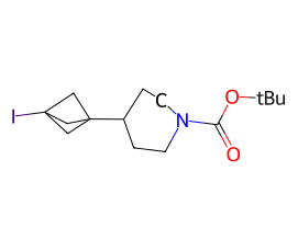 CC(C)(C)OC(=O)N1CCC(C23CC(I)(C2)C3)CC1